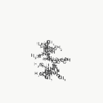 COCCCNc1nc(Nc2c(C)cc(C)cc2C)nc(NCCCOC)c1N=Nc1nn(-c2nc(OC(=O)COCC(=O)O)nc(-n3cc(C#N)c(N=Nc4c(NCCCOC)nc(Nc5c(C)cc(C)cc5C)nc4NCCCOC)n3)n2)cc1C#N